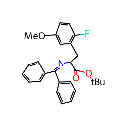 COc1ccc(F)c(CC(N=C(c2ccccc2)c2ccccc2)C(=O)OC(C)(C)C)c1